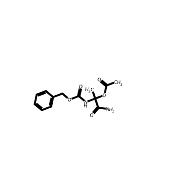 CC(=O)OC(C)(NC(=O)OCc1ccccc1)C(N)=O